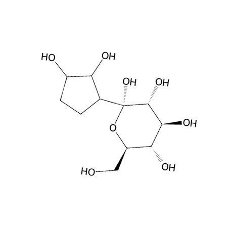 OC[C@H]1O[C@@](O)(C2CCC(O)C2O)[C@H](O)[C@@H](O)[C@@H]1O